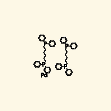 [Pd].c1ccc(P(CCCCCCP(c2ccccc2)c2ccccc2)c2ccccc2)cc1.c1ccc(P(CCCCCCP(c2ccccc2)c2ccccc2)c2ccccc2)cc1